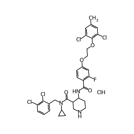 Cc1cc(Cl)c(OCCOc2ccc(C(=O)NC3CCNCC3C(=O)N(Cc3cccc(Cl)c3Cl)C3CC3)c(F)c2)c(Cl)c1.Cl